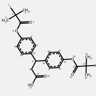 CC(C)(I)C(=O)Oc1ccc(C(CC(=O)O)c2ccc(OC(=O)C(C)(C)I)cc2)cc1